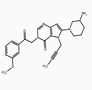 CC#CCn1c(N2CCCC(N)C2)cc2ncn(CC(=O)c3cccc(OC)c3)c(=O)c21